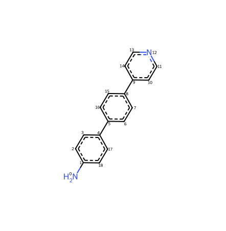 Nc1ccc(-c2ccc(-c3ccncc3)cc2)cc1